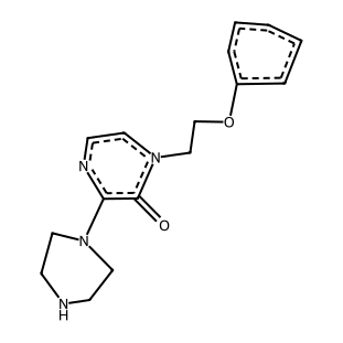 O=c1c(N2CCNCC2)nccn1CCOc1ccccc1